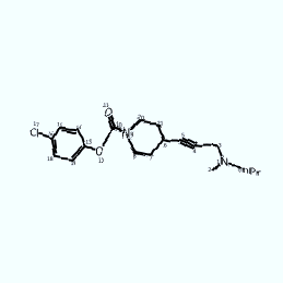 CCCN(C)CC#CC1CCN(C(=O)Oc2ccc(Cl)cc2)CC1